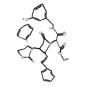 CC(C)(C)OC(=O)C(C(=O)NCc1cccc(C(F)(F)F)c1)N1C(=O)C(N2C(=O)OC[C@@H]2c2ccccc2)C1C=Cc1ccccc1